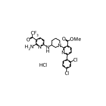 COC(=O)c1ccc(-c2ccc(Cl)cc2Cl)nc1N1CCCC(Nc2ccc(C(=O)C(F)(F)F)c(N)n2)C1.Cl